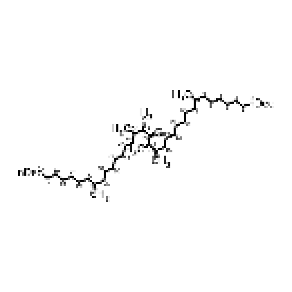 CCCCCCCCCCCCCCCCC(C)CCCCCCCC(C)C(C)C(=O)C(C)C(C)CCCCCCCC(C)CCCCCCCCCCCCCCCC